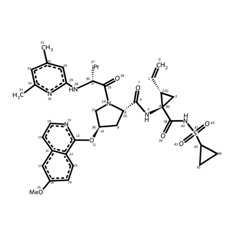 C=C[C@@H]1C[C@]1(NC(=O)[C@@H]1C[C@@H](Oc2nccc3cc(OC)ccc23)CN1C(=O)[C@H](Nc1cc(C)cc(C)n1)C(C)C)C(=O)NS(=O)(=O)C1CC1